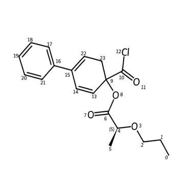 CCCO[C@@H](C)C(=O)OC1(C(=O)Cl)C=CC(c2ccccc2)=CC1